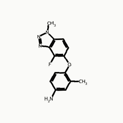 Cc1cc(N)ccc1Oc1ccc2c(nnn2C)c1F